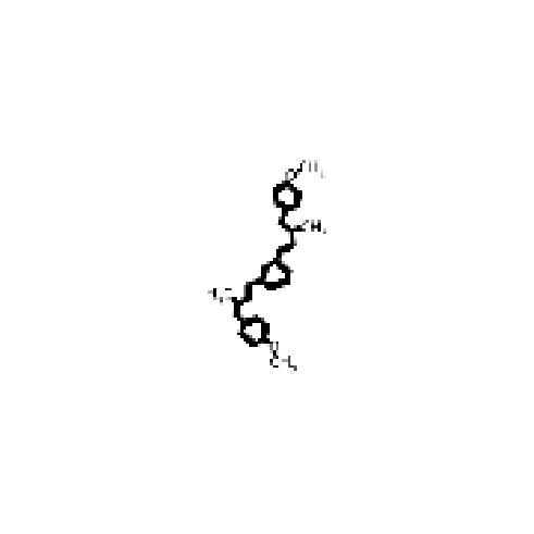 COc1ccc(CC(C)C=Cc2cccc(C=CC(C)Cc3ccc(OC)cc3)c2)cc1